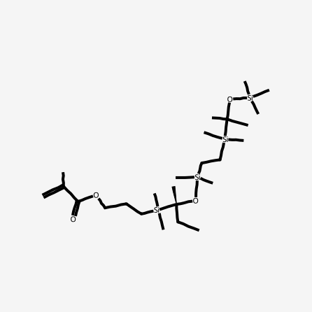 C=C(C)C(=O)OCCC[Si](C)(C)[C@@](C)(CC)O[Si](C)(C)CC[Si](C)(C)C(C)(C)O[Si](C)(C)C